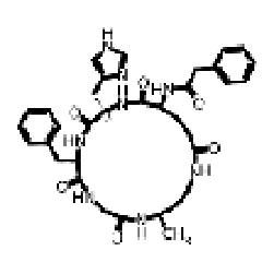 CC1CCNC(=O)CCC(NC(=O)Cc2ccccc2)C(=O)N[C@@H](Cc2c[nH]cn2)C(=O)NC(Cc2ccccc2)C(=O)NCC(=O)N1